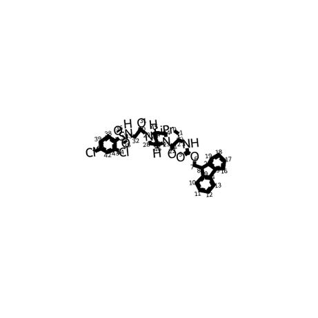 CC(C)C[C@H](NC(=O)OCC1c2ccccc2-c2ccccc21)C(=O)N1C[C@@H]2C[C@H]1CN2C(=O)CNS(=O)(=O)c1ccc(Cl)cc1Cl